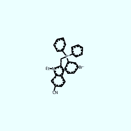 CCn1c(C[P+](c2ccccc2)(c2ccccc2)c2ccccc2)cc2ccc(C#N)cc21.[Br-]